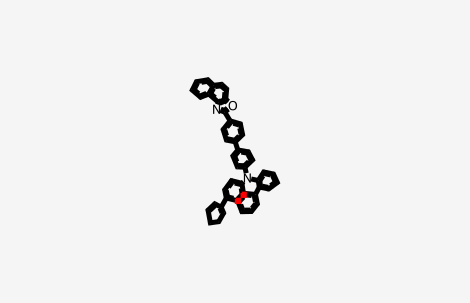 C1=CC(c2ccc(N(c3ccc(-c4ccc(-c5nc6c(ccc7ccccc76)o5)cc4)cc3)c3ccccc3-c3ccccc3)cc2)=CCC1